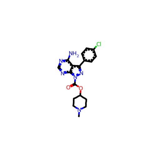 CN1CCC(OC(=O)n2nc(-c3ccc(Cl)cc3)c3c(N)ncnc32)CC1